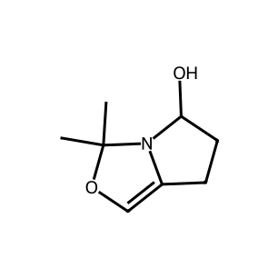 CC1(C)OC=C2CCC(O)N21